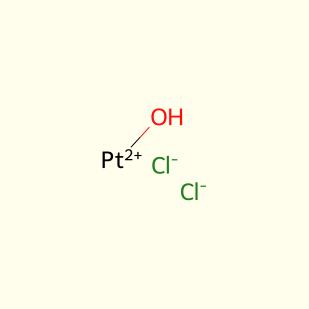 [Cl-].[Cl-].[OH][Pt+2]